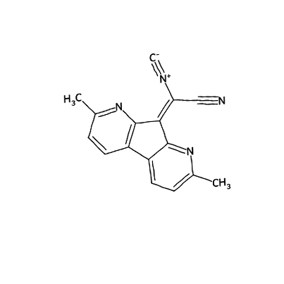 [C-]#[N+]C(C#N)=C1c2nc(C)ccc2-c2ccc(C)nc21